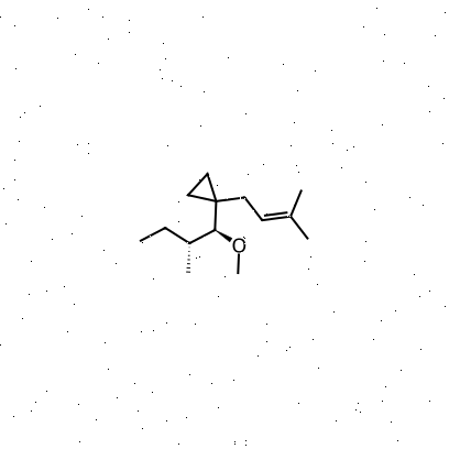 CC[C@@H](C)[C@H](OC)C1(CC=C(C)C)CC1